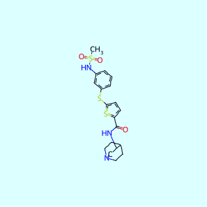 CS(=O)(=O)Nc1cccc(Sc2ccc(C(=O)NC3CN4CCC3CC4)s2)c1